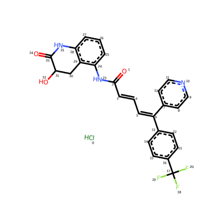 Cl.O=C(/C=C/C=C(\c1ccncc1)c1ccc(C(F)(F)F)cc1)Nc1cccc2c1CC(O)C(=O)N2